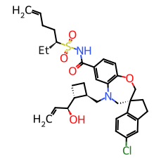 C=CCC[C@H](CC)S(=O)(=O)NC(=O)c1ccc2c(c1)N(C[C@@H]1CC[C@H]1[C@@H](O)C=C)C[C@@]1(CCc3cc(Cl)ccc31)CO2